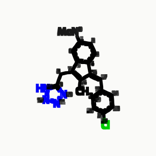 CNc1ccc2c(c1)C(Cc1nnn[nH]1)=C(C)C2=Cc1ccc(Cl)cc1